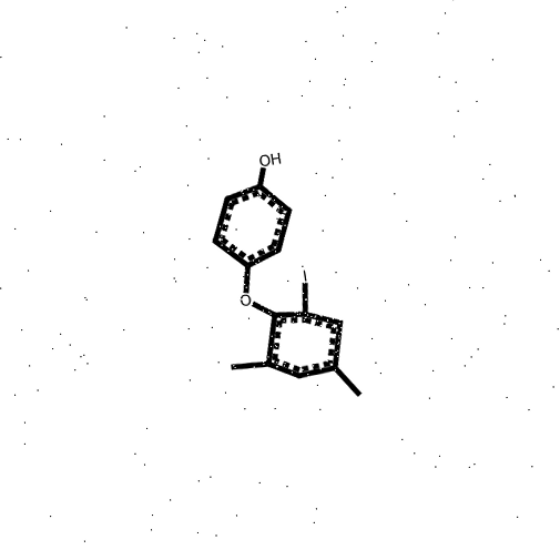 Cc1cc(C)c(Oc2ccc(O)cc2)c(I)c1